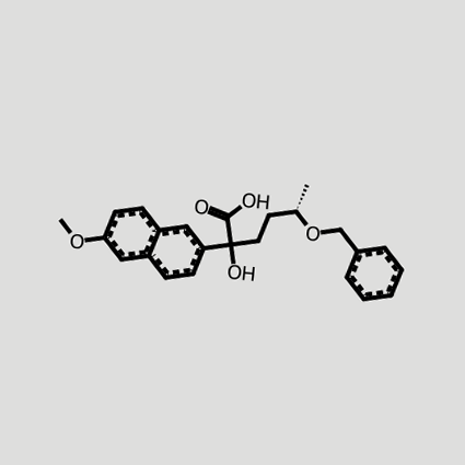 COc1ccc2cc(C(O)(CC[C@H](C)OCc3ccccc3)C(=O)O)ccc2c1